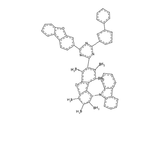 Bc1c(B)c(-n2c3ccccc3c3ccccc32)c2c(oc3c(B)c(-c4nc(-c5cccc(-c6ccccc6)c5)nc(-c5ccc6c(c5)oc5ccccc56)n4)c(B)c(B)c32)c1B